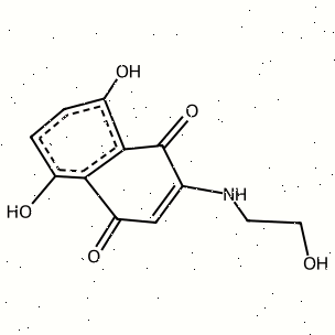 O=C1C=C(NCCO)C(=O)c2c(O)ccc(O)c21